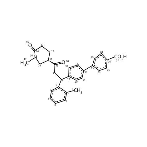 Cc1ccccc1C(CC(=O)[C@@H]1CCC(=O)N(C)C1)c1ccc(-c2ccc(C(=O)O)cc2)cc1